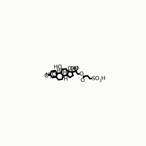 C[C@]12C=CC(=O)C=C1CC[C@@H]1[C@@H]2[C@@H](O)C[C@@]2(C)[C@H]1CC[C@]2(O)C(=O)COC(=O)CCS(=O)(=O)O